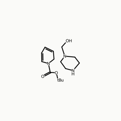 CC(C)(C)OC(=O)N1C=CC=CC1.OCN1CCNCC1